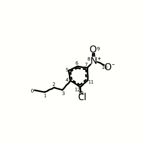 CCCCc1ccc([N+](=O)[O-])cc1Cl